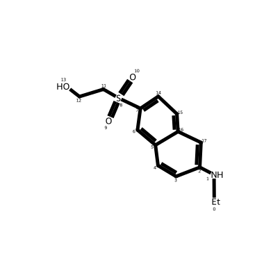 CCNc1ccc2cc(S(=O)(=O)CCO)ccc2c1